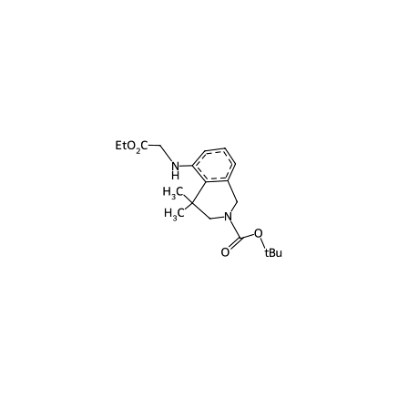 CCOC(=O)CNc1cccc2c1C(C)(C)CN(C(=O)OC(C)(C)C)C2